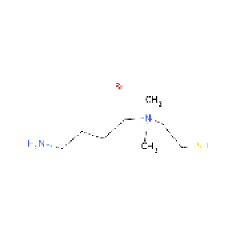 C[N+](C)(CCS)CCCCN.[Br-]